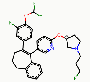 FCCCN1CC[C@H](Oc2ccc(C3=C(c4ccc(OC(F)F)c(F)c4)CCCc4ccccc43)cn2)C1